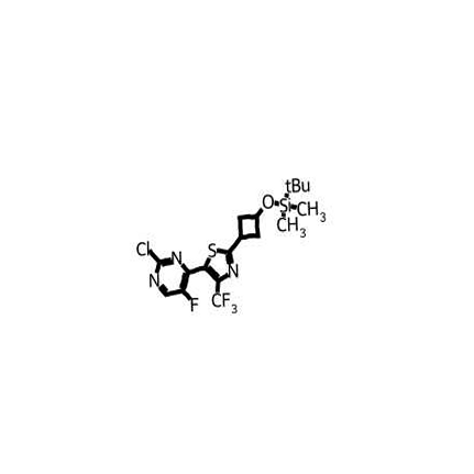 CC(C)(C)[Si](C)(C)OC1CC(c2nc(C(F)(F)F)c(-c3nc(Cl)ncc3F)s2)C1